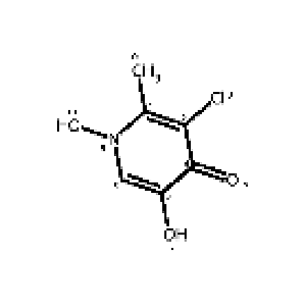 Cc1c(Cl)c(=O)c(O)cn1O